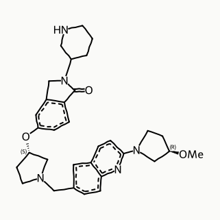 CO[C@@H]1CCN(c2ccc3cc(CN4CC[C@H](Oc5ccc6c(c5)CN(C5CCCNC5)C6=O)C4)ccc3n2)C1